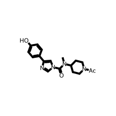 CC(=O)N1CCC(N(C)C(=O)n2cnc(-c3ccc(O)cc3)c2)CC1